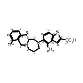 Cc1c(N2CCCN(Cc3c(Cl)cccc3Cl)CC2)ccc2oc(C(=O)O)cc12